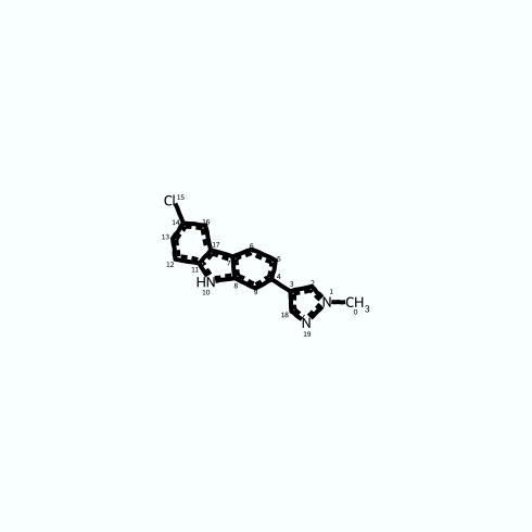 Cn1cc(-c2ccc3c(c2)[nH]c2ccc(Cl)cc23)cn1